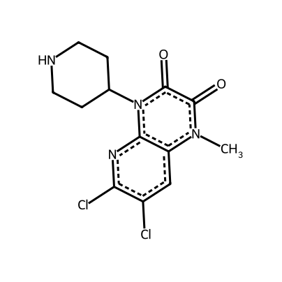 Cn1c(=O)c(=O)n(C2CCNCC2)c2nc(Cl)c(Cl)cc21